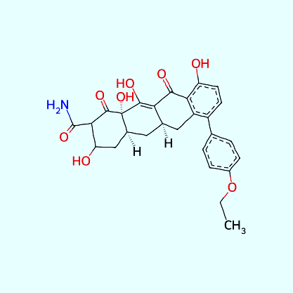 CCOc1ccc(-c2ccc(O)c3c2C[C@H]2C[C@H]4CC(O)C(C(N)=O)C(=O)[C@@]4(O)C(O)=C2C3=O)cc1